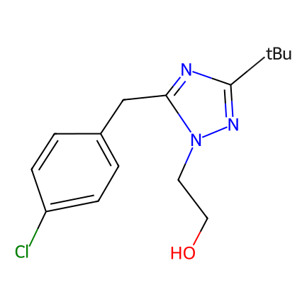 CC(C)(C)c1nc(Cc2ccc(Cl)cc2)n(CCO)n1